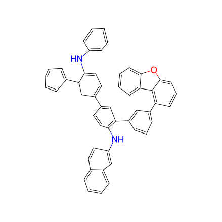 C1=C(c2ccc(Nc3ccc4ccccc4c3)c(-c3cccc(-c4cccc5oc6ccccc6c45)c3)c2)CC(c2ccccc2)C(Nc2ccccc2)=C1